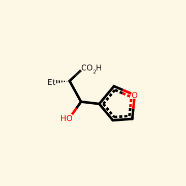 CC[C@H](C(=O)O)C(O)c1ccoc1